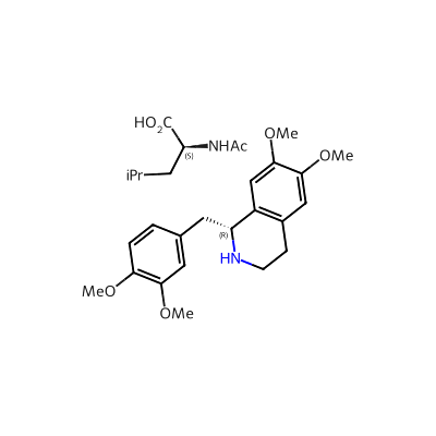 CC(=O)N[C@@H](CC(C)C)C(=O)O.COc1ccc(C[C@H]2NCCc3cc(OC)c(OC)cc32)cc1OC